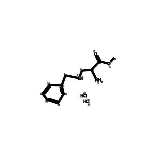 COC(=O)C(N)CNCc1ccccc1.Cl.Cl